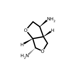 N[C@@H]1CO[C@@H]2[C@H]1CO[C@@H]2N